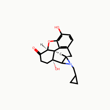 O=C1CC[C@]2(O)C3N(CC4CC4)[C@]34Cc3ccc(O)c5c3[C@]2(C4)[C@@H]1O5